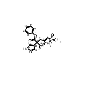 CC(=CS(C)(=O)=O)CC(C(=O)Oc1ccccc1)(c1cn[nH]c1)C(F)F